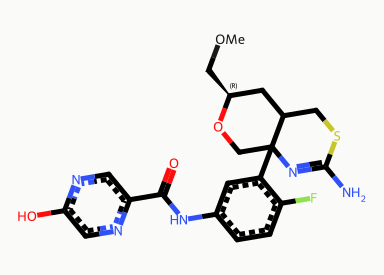 COC[C@H]1CC2CSC(N)=NC2(c2cc(NC(=O)c3cnc(O)cn3)ccc2F)CO1